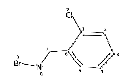 Clc1ccccc1C[N]Br